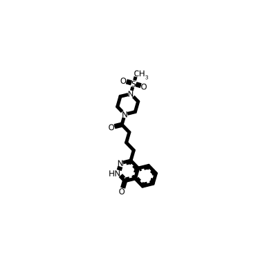 CS(=O)(=O)N1CCN(C(=O)CCCc2n[nH]c(=O)c3ccccc23)CC1